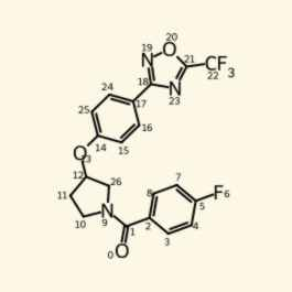 O=C(c1ccc(F)cc1)N1CCC(Oc2ccc(-c3noc(C(F)(F)F)n3)cc2)C1